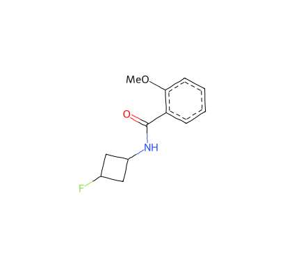 COc1ccccc1C(=O)NC1CC(F)C1